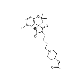 CC(=O)OC1CCN(CCCCN2C(=O)NC3(CC(C)(C)Oc4ccc(F)cc43)C2=O)CC1